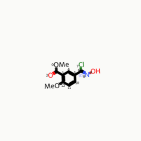 COC(=O)c1cc(/C(Cl)=N/O)ccc1OC